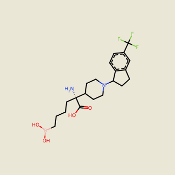 N[C@@](CCCCB(O)O)(C(=O)O)C1CCN(C2CCc3cc(C(F)(F)F)ccc32)CC1